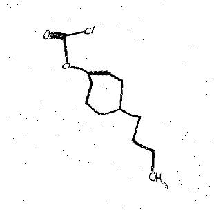 CCCCC1CCC(OC(=O)Cl)CC1